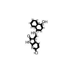 O=C1Nc2nc(Cl)ccc2C1=CNc1ccc(O)c2ccccc12